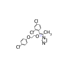 C/C(=C(/OCCOc1ccc(Cl)cc1)c1ccc(Cl)cc1Cl)n1ccnc1